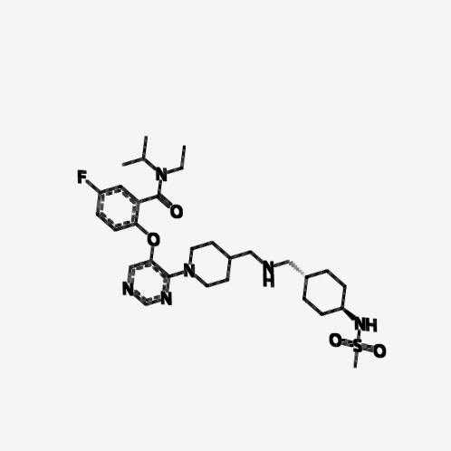 CCN(C(=O)c1cc(F)ccc1Oc1cncnc1N1CCC(CNC[C@H]2CC[C@H](NS(C)(=O)=O)CC2)CC1)C(C)C